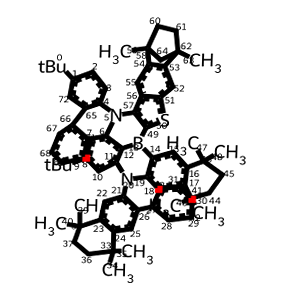 CC(C)(C)c1ccc(N2c3cc(C(C)(C)C)cc4c3B(c3cc5c(cc3N4c3cc4c(cc3-c3ccccc3)C(C)(C)CCC4(C)C)C(C)(C)CCC5(C)C)c3sc4cc5c(cc4c32)C2(C)CCC5(C)C2)c(-c2ccccc2)c1